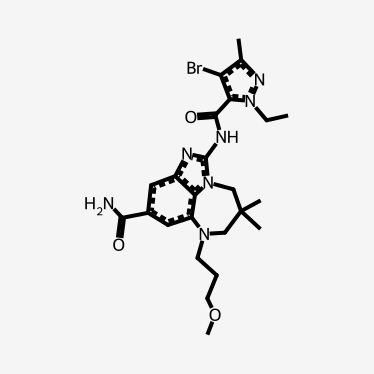 CCn1nc(C)c(Br)c1C(=O)Nc1nc2cc(C(N)=O)cc3c2n1CC(C)(C)CN3CCCOC